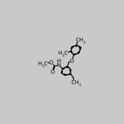 CCc1ccc(NC(=O)OC)c(COc2ccc(C)cc2C)c1